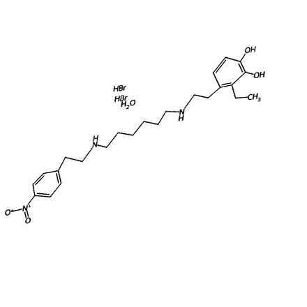 Br.Br.CCc1c(CCNCCCCCCNCCc2ccc([N+](=O)[O-])cc2)ccc(O)c1O.O